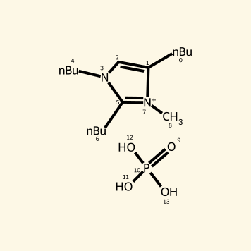 CCCCc1cn(CCCC)c(CCCC)[n+]1C.O=P(O)(O)O